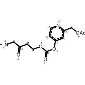 CC(=O)OCc1cc(OC(=O)OCCC(=O)CN)ccn1